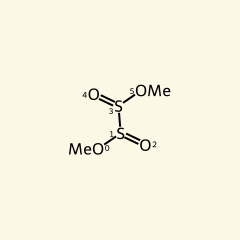 COS(=O)S(=O)OC